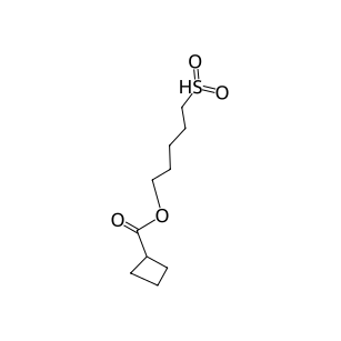 O=C(OCCCCC[SH](=O)=O)C1CCC1